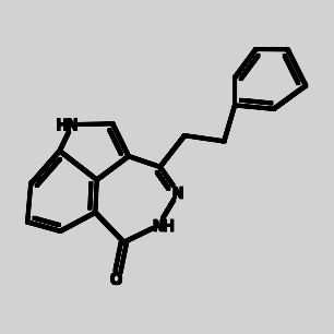 O=C1NN=C(CCc2ccccc2)c2c[nH]c3cccc1c23